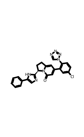 O=c1cc(-c2cc(Cl)ccc2-n2cnnn2)cc2n1[C@@H](c1ncc(-c3cc[c]cc3)[nH]1)CC2